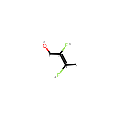 CC(F)=C(F)C[O]